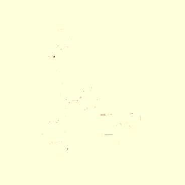 O=C(CC[C@H]1CN(S(=O)(=O)c2cccc(C(F)(F)F)c2)c2cc(/C=C/c3c(Cl)cccc3C(F)(F)F)ccc2O1)N1CCOCC1